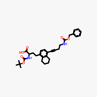 CC(C)(C)OC(=O)NC(CCc1ccc(C#CCCNC(=O)OCc2ccccc2)c2c1CCCC2)C(=O)O